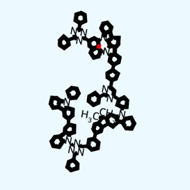 CC1(C)c2ccc(-c3cccc(-c4nc(-c5ccccc5)nc(-n5c6ccccc6c6cc(-c7ccc8c(c7)c7ccccc7n8-c7ccccc7)ccc65)n4)c3)cc2-c2cc3c4ccccc4n(-c4cccc(-c5cc(-c6ccc(-c7ccc8c9ccc%10c%11ccccc%11n(-c%11cccc(-c%12nc(-c%13ccccc%13)nc(-c%13ccccc%13)n%12)c%11)c%10c9n(-c9ccccc9)c8c7)cc6)nc(-c6ccccc6)n5)c4)c3cc21